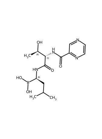 CC(C)C[C@H](NC(=O)[C@@H](NC(=O)c1cnccn1)[C@@H](C)O)B(O)O